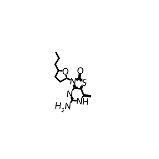 C=C1NC(N)=Nc2c1sc(=O)n2C1CCC(CCC)O1